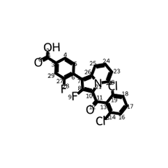 O=C(O)c1ccc(-c2c(F)c(C(=O)c3c(Cl)cccc3Cl)n3ccccc23)c(F)c1